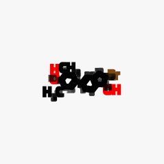 CC1=CC(c2ccc3c(c2)CC(Br)C3O)=CC(C)C1O